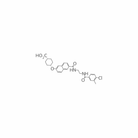 Cc1cc(C(=O)NCCNC(=O)c2ccc3cc(O[C@H]4CC[C@@H](C(=O)O)CC4)ccc3c2)ccc1Cl